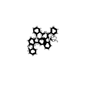 C[Si]1(C)c2ccccc2-c2nc(-c3ccccc3-n3c4ccccc4c4c5c(ccc43)sc3ccccc35)nc(-c3ccccc3)c21